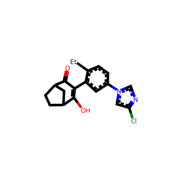 CCc1ccc(-n2cnc(Cl)c2)cc1C1=C(O)C2CCC(C2)C1=O